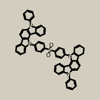 O=S(=O)(c1ccc(-n2c3c(c4ccc5c(c6ccccc6n5-c5ccccc5)c42)CCC=C3)cc1)c1ccc(-n2c3ccccc3c3ccc4c(c5ccccc5n4-c4ccccc4)c32)cc1